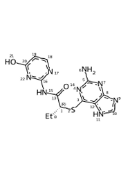 CC[C@@H](Sc1nc(N)nc2nc[nH]c12)C(=O)Nc1nccc(O)n1